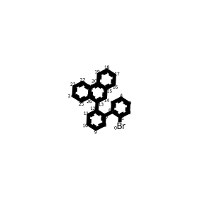 Brc1ccccc1-c1ccccc1-c1cc2ccccc2c2ccccc12